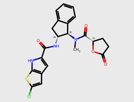 CN(C(=O)[C@@H]1CCC(=O)O1)[C@@H]1c2ccccc2C[C@H]1NC(=O)c1cc2cc(Cl)sc2[nH]1